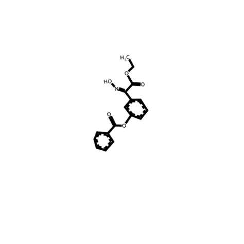 CCOC(=O)C(=NO)c1cccc(OC(=O)c2ccccc2)c1